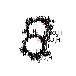 C[C@H](N)C(=O)N[C@H]1CSCC(=O)NCCN2CCNC(=O)CSC[C@@H](C(N)=O)NC(=O)[C@H](C(C)(C)C)NC(=O)C(CC(=O)O)NC(=O)[C@H](Cc3ccc(O)cc3)NC(=O)[C@H](Cc3ccccc3)NC(=O)[C@H](CC(=O)O)NC(=O)[C@H](CCC(=O)O)NC(=O)[C@H](CSCC(=O)NCC2)NC(=O)[C@@H](C)NC(=O)[C@H](Cc2cccc3ccccc23)NC(=O)[C@H](CCC(=O)O)NC(=O)[C@H](CC(N)=O)NC(=O)[C@@H](C)NC1=O